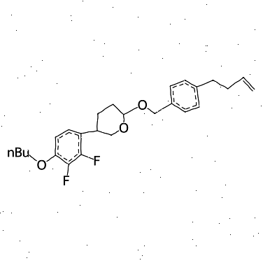 C=CCCc1ccc(COC2CCC(c3ccc(OCCCC)c(F)c3F)CO2)cc1